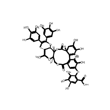 O=C(C[C@H]1C(O)O[C@@H]2COC(=O)c3cc(Oc4c(C(=O)O)cc(O)c(O)c4O)c(O)c(O)c3C3=C(O)C(O)=C(O)C[C@H]3C(=O)O[C@H]2[C@@H]1OC(=O)c1cc(O)c(O)c(O)c1)c1cc(O)c(O)c(O)c1